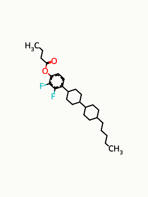 CCCCCC1CCC(C2CCC(c3ccc(OC(=O)CCC)c(F)c3F)CC2)CC1